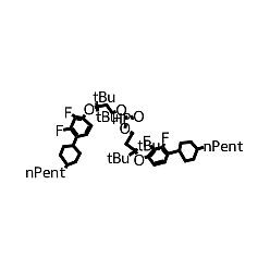 CCCCCC1CCC(c2ccc(OC(CCO[PH](=O)OCCC(Oc3ccc(C4CCC(CCCCC)CC4)c(F)c3F)(C(C)(C)C)C(C)(C)C)(C(C)(C)C)C(C)(C)C)c(F)c2F)CC1